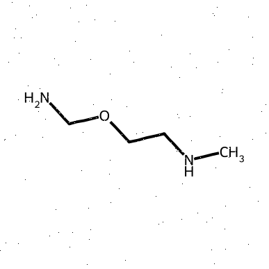 CNCCOCN